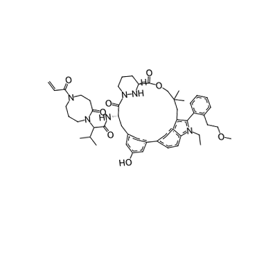 C=CC(=O)N1CCCN(C(C(=O)N[C@H]2Cc3cc(O)cc(c3)-c3ccc4c(c3)c(c(-c3ccccc3CCOC)n4CC)CC(C)(C)COC(=O)[C@@H]3CCCN(N3)C2=O)C(C)C)C(=O)CC1